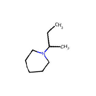 CC[C](C)N1CCCCC1